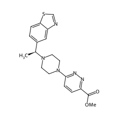 COC(=O)c1ccc(N2CCN([C@@H](C)c3ccc4scnc4c3)CC2)nn1